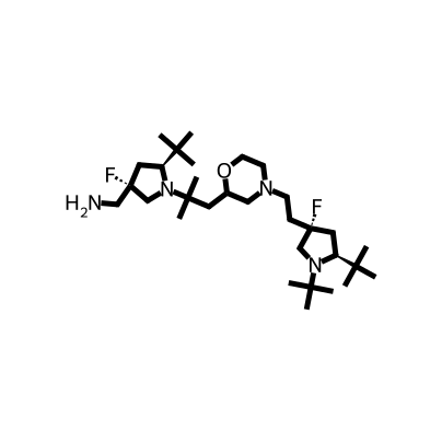 CC(C)(C)[C@@H]1C[C@](F)(CCN2CCOC(CC(C)(C)N3C[C@@](F)(CN)C[C@H]3C(C)(C)C)C2)CN1C(C)(C)C